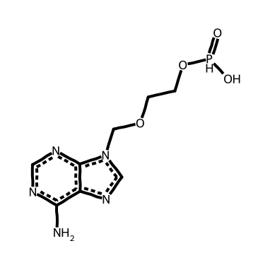 Nc1ncnc2c1ncn2COCCO[PH](=O)O